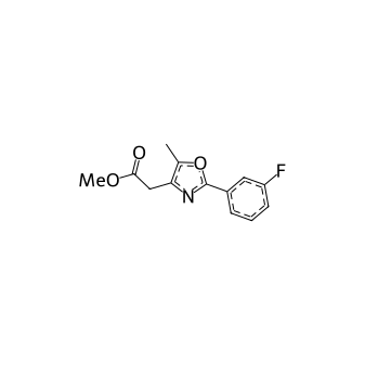 COC(=O)Cc1nc(-c2cccc(F)c2)oc1C